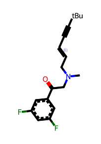 CN(C/C=C/C#CC(C)(C)C)CC(=O)c1cc(F)cc(F)c1